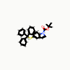 CC(C)(C)OC(=O)n1ccc2cc(SC(c3ccccc3)(c3ccccc3)c3ccccc3)ccc21